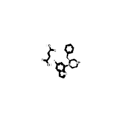 Fc1cc(N2CCNC[C@@H]2Cc2ccccc2)c2occc2c1.O=C(O)C=CC(=O)O